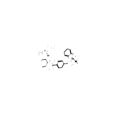 CC(F)(F)c1nc2ccccc2n1Cc1ccc(C(=O)N[C@@H]2CCOC[C@@H]2C(=O)NO)cc1